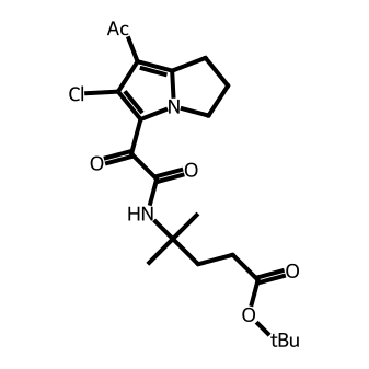 CC(=O)c1c(Cl)c(C(=O)C(=O)NC(C)(C)CCC(=O)OC(C)(C)C)n2c1CCC2